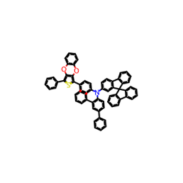 c1ccc(-c2ccc(N(c3ccc(-c4sc(-c5ccccc5)c5c4Oc4ccccc4O5)cc3)c3ccc4c(c3)C3(c5ccccc5-c5ccccc53)c3ccccc3-4)c(-c3ccccc3)c2)cc1